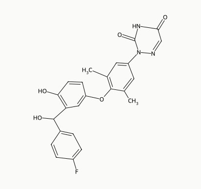 Cc1cc(-n2ncc(=O)[nH]c2=O)cc(C)c1Oc1ccc(O)c(C(O)c2ccc(F)cc2)c1